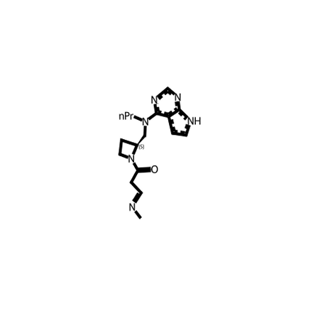 CCCN(C[C@@H]1CCN1C(=O)CC=NC)c1ncnc2[nH]ccc12